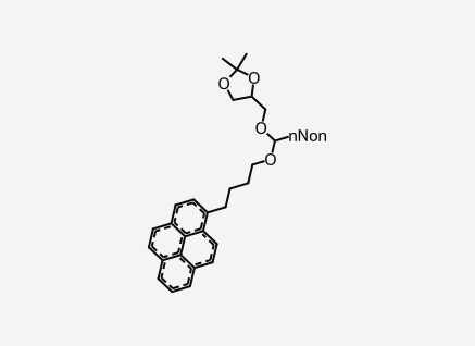 CCCCCCCCCC(OCCCCc1ccc2ccc3cccc4ccc1c2c34)OCC1COC(C)(C)O1